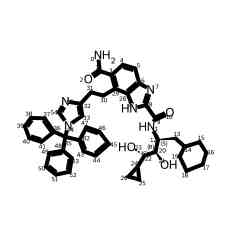 NC(=O)c1ccc2nc(C(=O)N[C@@H](CC3CCCCC3)[C@@H](O)[C@@H](O)C3CC3)[nH]c2c1CCc1cn(C(c2ccccc2)(c2ccccc2)c2ccccc2)cn1